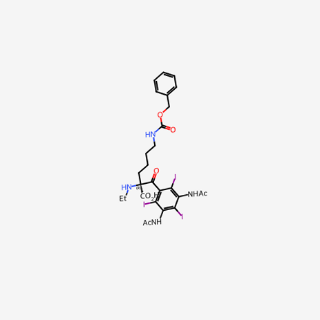 CCN[C@@](CCCCNC(=O)OCc1ccccc1)(C(=O)O)C(=O)c1c(I)c(NC(C)=O)c(I)c(NC(C)=O)c1I